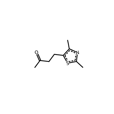 CC(=O)CCc1sc(C)nc1C